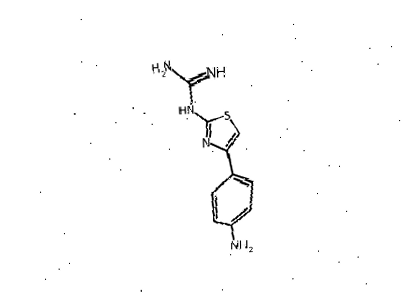 N=C(N)Nc1nc(-c2ccc(N)cc2)cs1